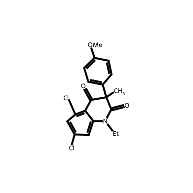 CCN1C(=O)C(C)(c2ccc(OC)cc2)C(=O)c2c(Cl)cc(Cl)cc21